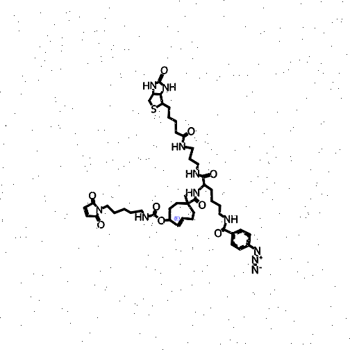 CC1(C(=O)NC(CCCCNC(=O)c2ccc(N=[N+]=[N-])cc2)C(=O)NCCCNC(=O)CCCCC2SCC3NC(=O)NC32)CC/C=C/C(OC(=O)NCCCCCN2C(=O)C=CC2=O)CC1